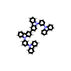 c1cc(-n2c3ccccc3c3ccccc32)cc(-n2c3ccccc3c3cc(-c4ccc5c(c4)c4ccccc4n5-c4cccc(-n5c6ccccc6c6ccccc65)c4)ccc32)c1